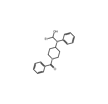 CCC(O)N(c1ccccc1)C1CCN(C(=O)c2ccccc2)CC1